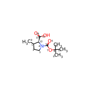 CC1CCN(C(=O)OC(C)(C)C)[C@@H]1C(=O)O